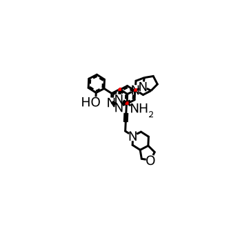 Nc1nnc(-c2ccccc2O)cc1N1CC2CCC(C1)N2c1ccnc(C#CCN2CCC3COCC3C2)c1